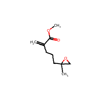 C=C(CCCC1(C)CO1)C(=O)OC